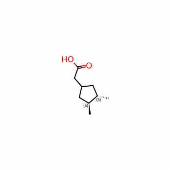 C[C@H]1CC(CC(=O)O)C[C@@H]1C